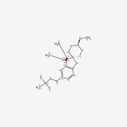 CO[C@H]1CC[C@]2(CC1)Cc1ccc(OCC(C)(F)F)cc1C21N=C(C)C(N)=N1